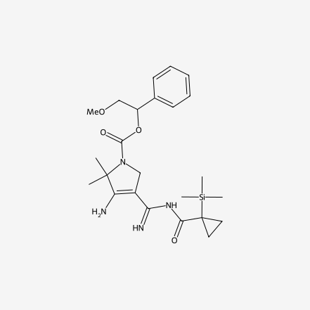 COCC(OC(=O)N1CC(C(=N)NC(=O)C2([Si](C)(C)C)CC2)=C(N)C1(C)C)c1ccccc1